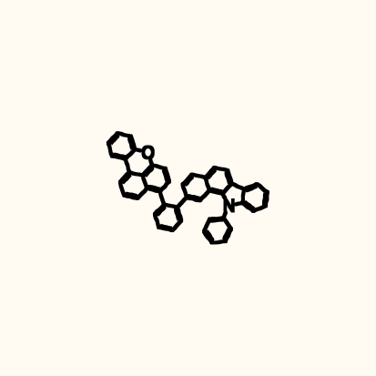 c1ccc(-n2c3ccccc3c3ccc4ccc(-c5ccccc5-c5ccc6c7c(cccc57)-c5ccccc5O6)cc4c32)cc1